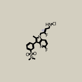 Cc1c(-c2cccc(S(=O)(=O)N(C)C)c2)c2nc(F)ccc2n1C/C(F)=C/CNCl